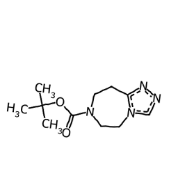 CC(C)(C)OC(=O)N1CCc2nncn2CC1